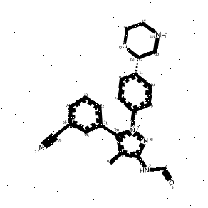 Cc1c(NC=O)nn(-c2ccc([C@H]3CNCCO3)cc2)c1-c1cccc(C#N)c1